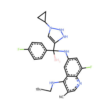 BC(Nc1cc(F)c2ncc(C#N)c(NCC(C)(C)C)c2c1)(C1=CN(C2CC2)NN1)c1ccc(F)cc1